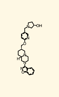 O[C@@H]1CCN(Cc2ccc(OC[C@@H]3CC[C@H]4CN(c5noc6ccccc56)CCN4C3)nc2)C1